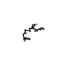 CCCCCCCCCCCC(=O)OCCC